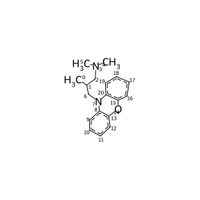 CC(CN(C)C)CN1c2ccccc2Oc2ccccc21